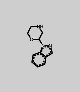 c1ccc2c(c1)cnn2C1CNCCO1